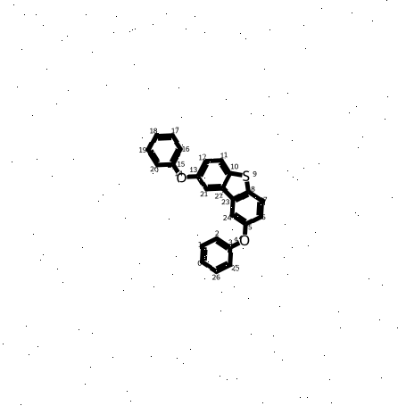 c1ccc(Oc2ccc3sc4ccc(Oc5ccccc5)cc4c3c2)cc1